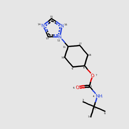 CC(C)(C)NC(=O)OC1CCC(n2cncn2)CC1